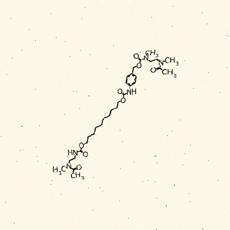 CC(=O)N(C)CCNC(=O)OCCCCCCCCCCOC(=O)Nc1ccc(COC(=O)N(C)CCN(C)C(C)=O)cc1